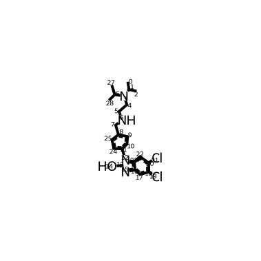 CC(C)N(CCNCc1ccc(-n2c(O)nc3cc(Cl)c(Cl)cc32)cc1)C(C)C